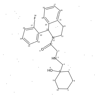 O=C(CNCC1(O)CCCCC1)N1CCc2ccccc2C1c1ccccc1F